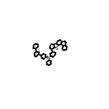 c1ccc(-c2cccc(-c3ccc(N(c4ccccc4)c4cccc(-c5cccc6c5sc5c6ccc6ccc7ccccc7c65)c4)cc3)c2)cc1